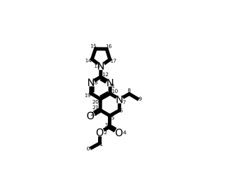 CCOC(=O)C1CN(CC)c2nc(N3CCCC3)ncc2C1=O